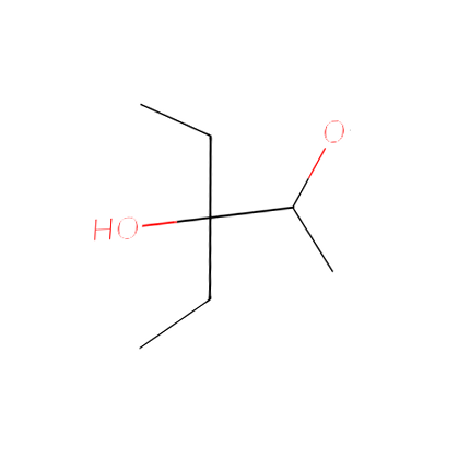 CCC(O)(CC)C(C)[O]